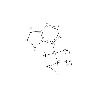 CCC(C)(c1cccc2c1OCO2)C1(C(F)(F)F)CO1